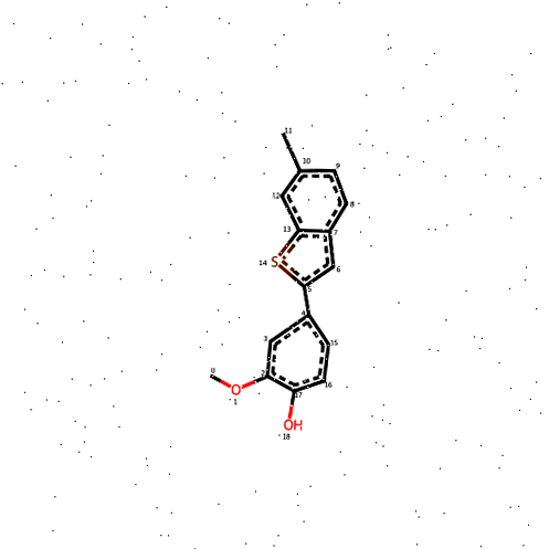 COc1cc(-c2cc3ccc(C)cc3s2)ccc1O